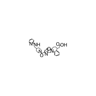 O=C(O)CC1CCC(=O)N(Cc2nc(C(=O)N3CCC(CNc4ccccn4)CC3)cs2)c2ccccc21